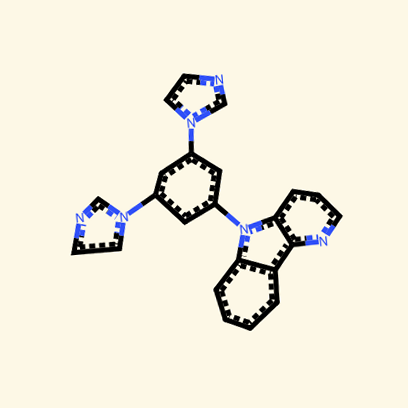 c1ccc2c(c1)c1ncccc1n2-c1cc(-n2ccnc2)cc(-n2ccnc2)c1